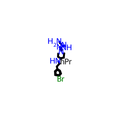 CCCC1(NCCc2ccc(Br)cc2)CCN(c2nc(N)n[nH]2)CC1